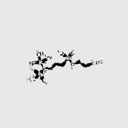 CCCCCCCCCCCCOS(=O)(=O)CCCN(S(C)(=O)=O)S(C)(=O)=O